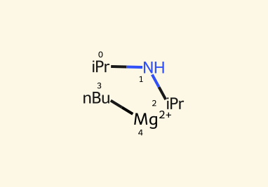 CC(C)NC(C)C.CCC[CH2][Mg+2]